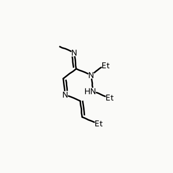 CC/C=C/N=C\C(=N/C)N(CC)NCC